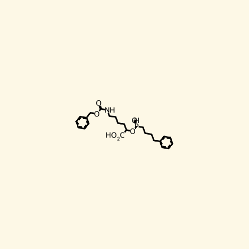 O=C(NCCCCC(O[PH](=O)CCCCc1ccccc1)C(=O)O)OCc1ccccc1